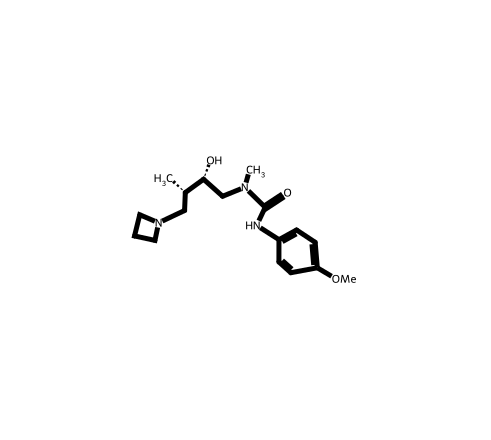 COc1ccc(NC(=O)N(C)C[C@@H](O)[C@@H](C)CN2CCC2)cc1